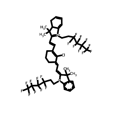 CC1(C)/C(=C\C=C2/CCCC(/C=C/C3=[N+](CCC(F)(F)C(F)(F)C(F)(F)C(F)(F)F)C4=CC=CCC4C3(C)C)=C2Cl)N(CCC(F)(F)C(F)(F)C(F)(F)C(F)(F)F)c2ccccc21